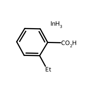 CCc1ccccc1C(=O)O.[InH3]